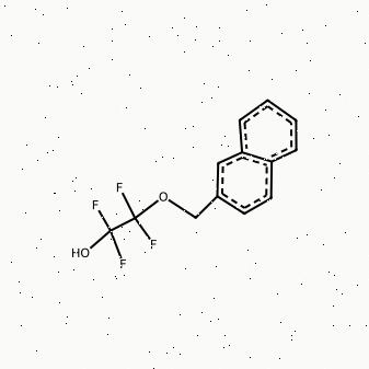 OC(F)(F)C(F)(F)OCc1ccc2ccccc2c1